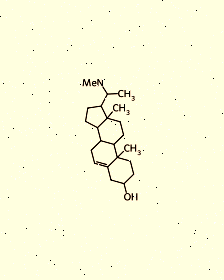 CNC(C)C1CCC2C3CC=C4CC(O)CCC4(C)C3CCC12C